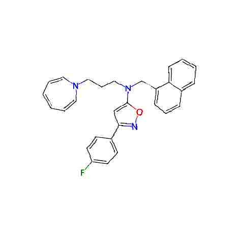 Fc1ccc(-c2cc(N(CCCN3C=CC=CC=C3)Cc3cccc4ccccc34)on2)cc1